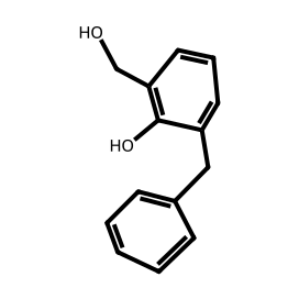 OCc1cccc(Cc2ccccc2)c1O